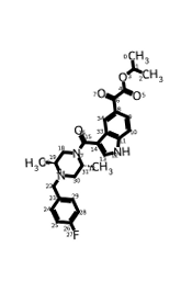 CC(C)OC(=O)C(=O)c1ccc2[nH]cc(C(=O)N3C[C@H](C)N(Cc4ccc(F)cc4)C[C@H]3C)c2c1